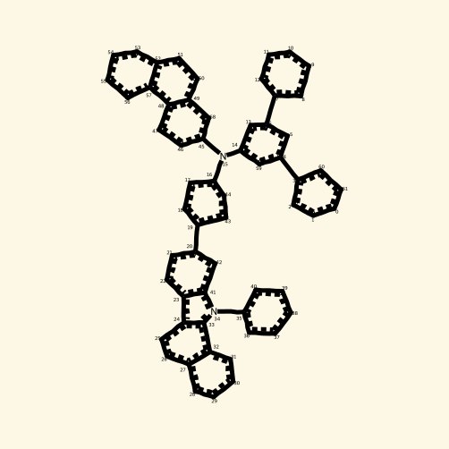 c1ccc(-c2cc(-c3ccccc3)cc(N(c3ccc(-c4ccc5c6ccc7ccccc7c6n(-c6ccccc6)c5c4)cc3)c3ccc4c(ccc5ccccc54)c3)c2)cc1